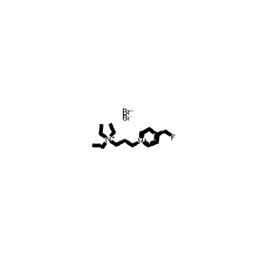 CC[N+](CC)(CC)CCC[n+]1ccc(CF)cc1.[Br-].[Br-]